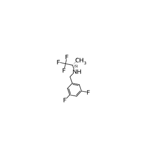 C[C@H](NCc1cc(F)cc(F)c1)C(F)(F)F